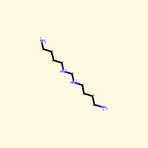 NCCCCNCNCCCCN